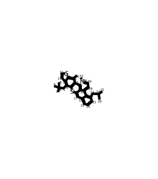 Cc1c2c(c(CC(C)(C)C)c3ccsc13)Sc1cc3cccc(CC(C)C)c3c3cc[n+](C)c-2c13